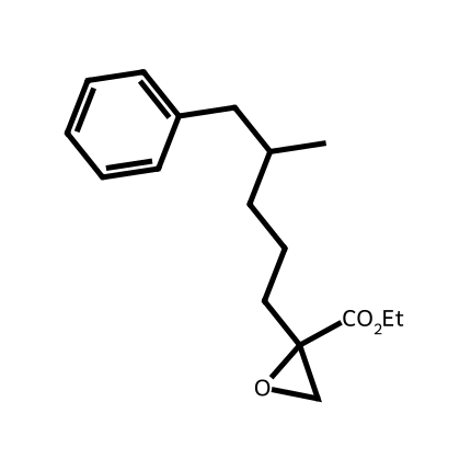 CCOC(=O)C1(CCCC(C)Cc2ccccc2)CO1